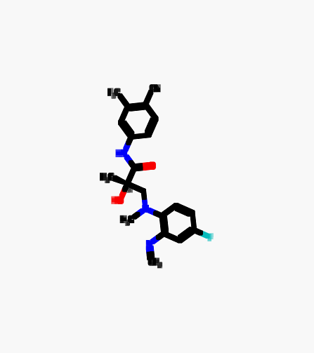 C=Nc1cc(F)ccc1N(C)C[C@](C)(O)C(=O)Nc1ccc(C#N)c(C(F)(F)F)c1